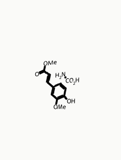 COC(=O)C=Cc1ccc(O)c(OC)c1.NC(=O)O